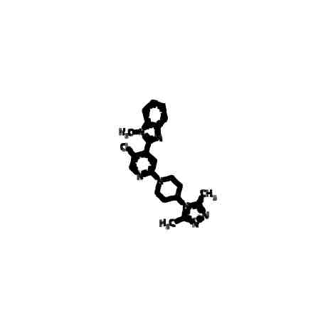 Cc1nnc(C)n1C1CCN(c2cc(-c3nc4ccccc4n3C)c(Cl)cn2)CC1